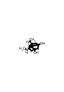 CNC12CC3(O)CC(O)(C1)CC(NC)(C3)C2